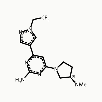 CN[C@@H]1CCN(c2cc(-c3cnn(CC(F)(F)F)c3)nc(N)n2)C1